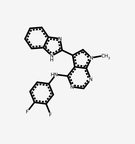 Cn1cc(-c2nc3ccccc3[nH]2)c2c(Nc3ccc(F)c(F)c3)ncnc21